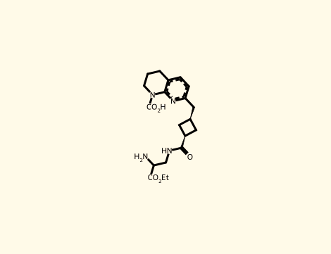 CCOC(=O)C(N)CNC(=O)[C@H]1C[C@@H](Cc2ccc3c(n2)N(C(=O)O)CCC3)C1